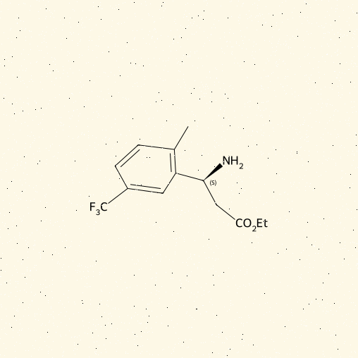 CCOC(=O)C[C@H](N)c1cc(C(F)(F)F)ccc1C